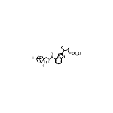 CCOC(=O)CN(C)C(=O)c1cn2c(C(=O)NC[C@@H]3CC[C@H]4C[C@@H]3C4(C)C)cccc2n1